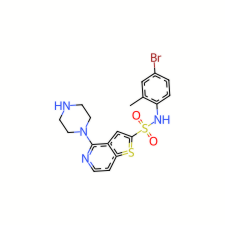 Cc1cc(Br)ccc1NS(=O)(=O)c1cc2c(N3CCNCC3)nccc2s1